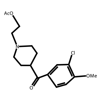 COc1ccc(C(=O)C2CCN(CCOC(C)=O)CC2)cc1Cl